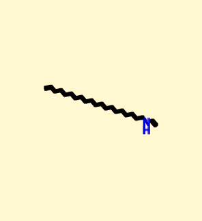 C=CCCCCCCCCCCCCCCCCCCNC=C